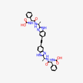 C[C@H](NC(=O)[C@H](NC(=O)O)c1ccccc1)c1nc2cc(C#Cc3ccc4[nH]c([C@H](C)NC(=O)[C@H](NC(=O)O)c5ccccc5)nc4c3)ccc2[nH]1